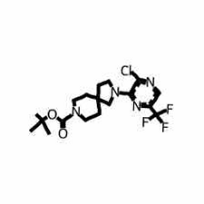 CC(C)(C)OC(=O)N1CCC2(CC1)CCN(c1nc(C(F)(F)F)cnc1Cl)C2